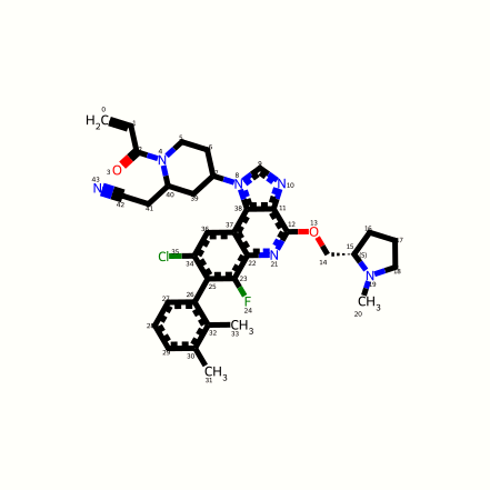 C=CC(=O)N1CCC(n2cnc3c(OC[C@@H]4CCCN4C)nc4c(F)c(-c5cccc(C)c5C)c(Cl)cc4c32)CC1CC#N